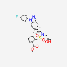 COC(=O)c1ccccc1CS(=O)(=O)N(C[C@H]1CCC2=Cc3c(cnn3-c3ccc(F)cc3)C[C@@]21C)C[C@@H](C)O